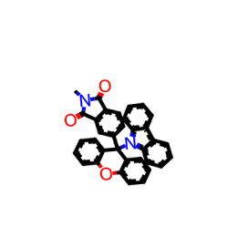 CN1C(=O)c2ccc(C3(n4c5ccccc5c5ccccc54)c4ccccc4Oc4ccccc43)cc2C1=O